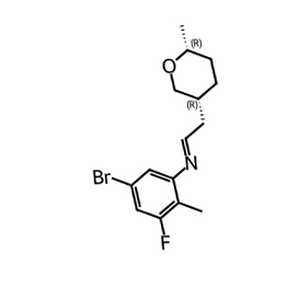 Cc1c(F)cc(Br)cc1N=CC[C@H]1CC[C@@H](C)OC1